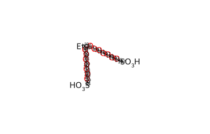 CCc1ccc(OCCOCCOCCOCCOCCOCCOCCCS(=O)(=O)O)cc1OCCOCCOCCOCCOCCOCCOCCCS(=O)(=O)O